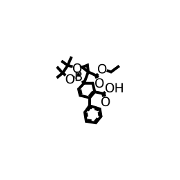 CCOC(=O)C1(C2(B3OC(C)(C)C(C)(C)O3)C=CC(c3ccccc3)=C(C(=O)O)C2)CC1